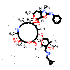 CC[C@H]1OC(=O)[C@H](C)[C@@H](O[C@H]2C[C@@](C)(OC)[C@](O)(CNCC3CC3)[C@H](C)O2)[C@H](C)[C@@H](O[C@@H]2O[C@H](C)C[C@H]3[C@H]2O/C(=N\c2ccccc2)N3C)[C@](C)(O)C[C@@H](C)CN[C@H](C)[C@@H](O)[C@]1(C)O